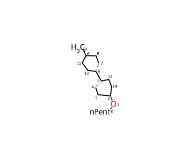 CCCCCO[C@H]1CC[C@H]([C@H]2CC[C@H](C)CC2)CC1